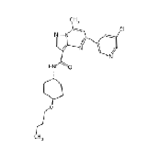 CCCCO[C@H]1CC[C@H](NC(=O)c2cnn3c(C)cc(-c4cncc(Cl)c4)nc23)CC1